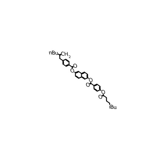 C=C(CCCC)Cc1ccc(C(=O)Oc2ccc3cc(OC(=O)c4ccc(OC(=O)CCCC(C)CC)cc4)ccc3c2)cc1